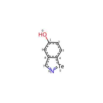 Oc1ccc2[te]ncc2c1